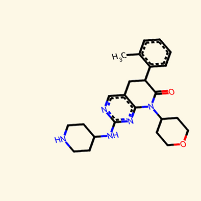 Cc1ccccc1C1Cc2cnc(NC3CCNCC3)nc2N(C2CCOCC2)C1=O